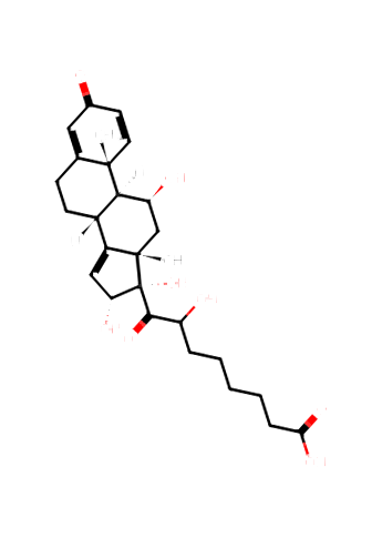 C[C@]12C=CC(=O)C=C1CC[C@H]1C3=C[C@@H](O)[C@](O)(C(=O)C(O)CCCCCC(=O)O)[C@@]3(C)C[C@H](O)[C@@H]12